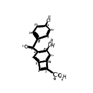 O=C(O)C1=Cc2cc(C(=O)c3ccc(Cl)cc3)c(O)cc21